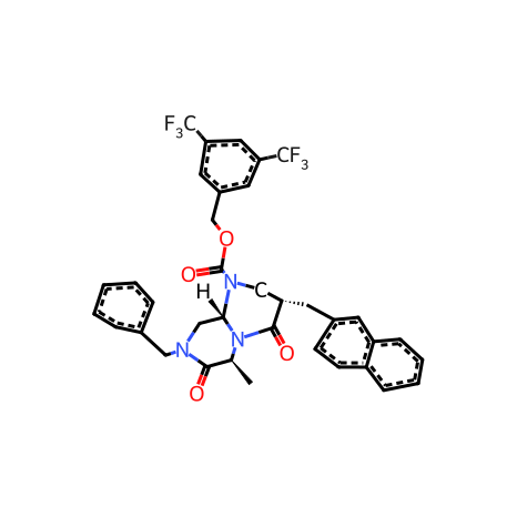 C[C@H]1C(=O)N(Cc2ccccc2)C[C@@H]2N(C(=O)OCc3cc(C(F)(F)F)cc(C(F)(F)F)c3)C[C@H](Cc3ccc4ccccc4c3)C(=O)N21